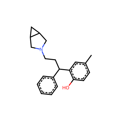 Cc1ccc(O)c(C(CCN2CC3CC3C2)c2ccccc2)c1